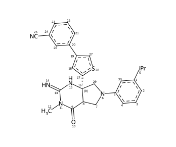 CC(C)c1cccc(N2CC3C(=O)N(C)C(=N)N[C@@]3(c3cc(-c4cccc(C#N)c4)cs3)C2)c1